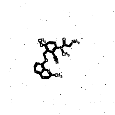 COc1ccc(N(C)C(=O)CN)c(C#N)c1COc1cccc2ccc(C)nc12